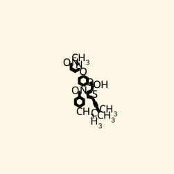 CC1CCC(C(=O)N(c2cc(C#CC(C)(C)C)sc2C(=O)O)C2CCC(Oc3ccc(=O)n(C)n3)CC2)CC1